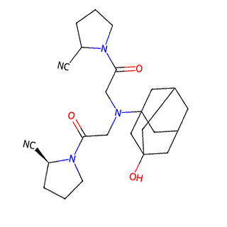 N#CC1CCCN1C(=O)CN(CC(=O)N1CCC[C@H]1C#N)C12CC3CC(CC(O)(C3)C1)C2